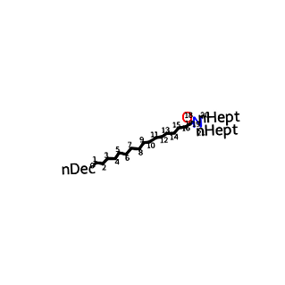 CCCCCCCCCCCCCCCCCCCCCCCCCCC(=O)N(CCCCCCC)CCCCCCC